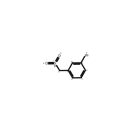 CC(C)c1cccc(C[SH](=O)=O)c1